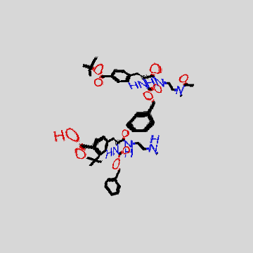 CC(=O)N(C)CCNC(=O)[C@H](Cc1ccc(C(=O)OC(C)(C)C)cc1)NC(=O)OCc1ccccc1.CNCCNC(=O)[C@H](Cc1ccc(C(=O)O)c(C(C)(C)C)c1)NC(=O)OCc1ccccc1